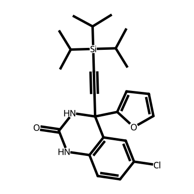 CC(C)[Si](C#CC1(c2ccco2)NC(=O)Nc2ccc(Cl)cc21)(C(C)C)C(C)C